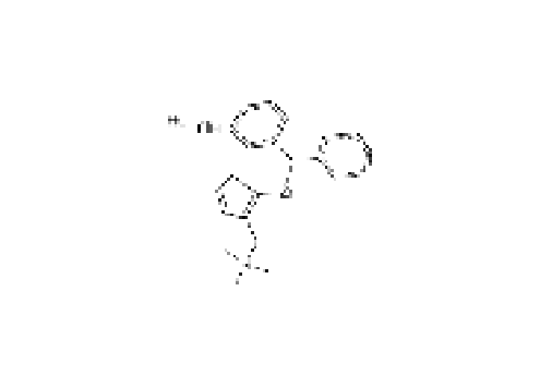 C[Si](C)(C)CC1=[C]([Zr][CH](c2ccccc2)c2ccccc2)CC=C1.Cl.Cl